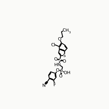 CCCOc1ccc2sc(S(=O)(=O)NCP(=O)(O)Oc3ccc(C#N)c(F)c3)cc2c1Cl